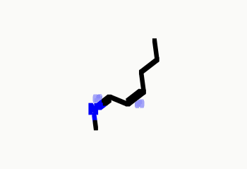 CCC/C=C\C=N/C